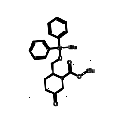 CC(C)(C)OC(=O)N1CC(=O)CC[C@H]1CO[Si](c1ccccc1)(c1ccccc1)C(C)(C)C